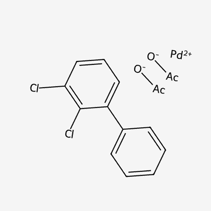 CC(=O)[O-].CC(=O)[O-].Clc1cccc(-c2ccccc2)c1Cl.[Pd+2]